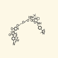 COc1cc(OCCCOCCOCC(=O)NC(C(=O)N2CCCC2C(=O)NCc2ccc(-c3scnc3C)cc2)C(C)(C)C)ncc1N1C(=S)N(c2ccc(C#N)c(C(F)(F)F)c2F)C(=O)C1(C)C